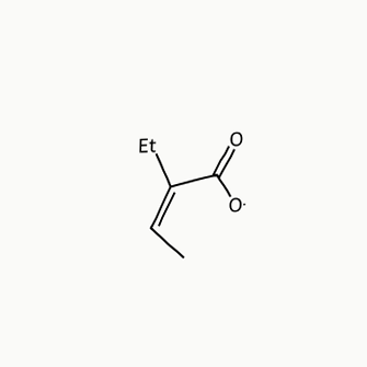 CC=C(CC)C([O])=O